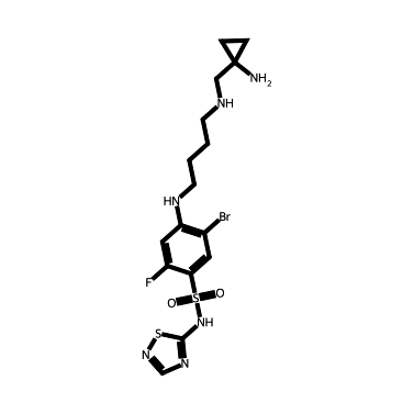 NC1(CNCCCCNc2cc(F)c(S(=O)(=O)Nc3ncns3)cc2Br)CC1